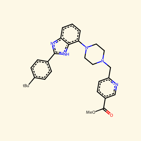 COC(=O)c1ccc(CN2CCN(c3cccc4nc(-c5ccc(C(C)(C)C)cc5)[nH]c34)CC2)nc1